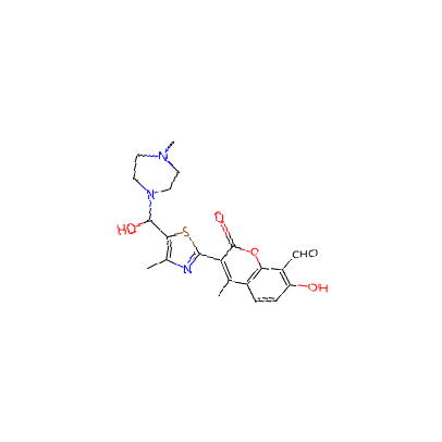 Cc1nc(-c2c(C)c3ccc(O)c(C=O)c3oc2=O)sc1C(O)N1CCN(C)CC1